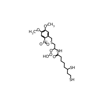 COc1cc(CSCC(NC(=O)CCCCC(S)CCS)OOO)c([N+](=O)[O-])cc1OC